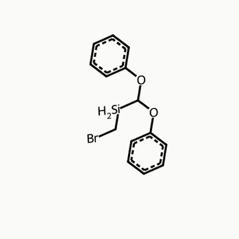 BrC[SiH2]C(Oc1ccccc1)Oc1ccccc1